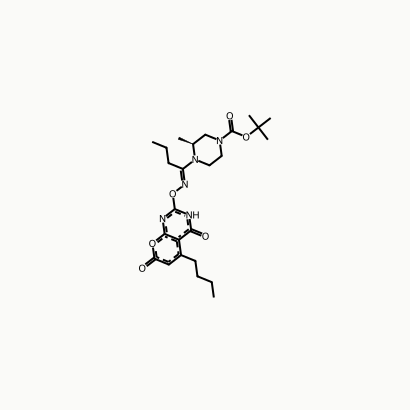 CCCCc1cc(=O)oc2nc(O/N=C(\CCC)N3CCN(C(=O)OC(C)(C)C)C[C@@H]3C)[nH]c(=O)c12